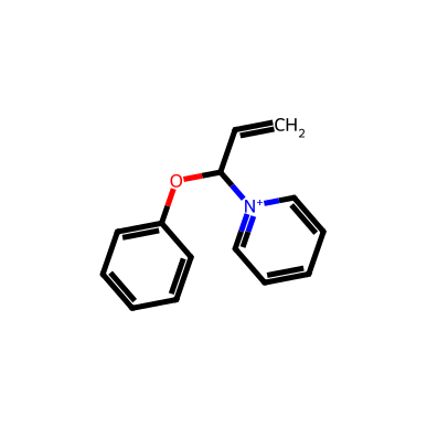 C=CC(Oc1ccccc1)[n+]1ccccc1